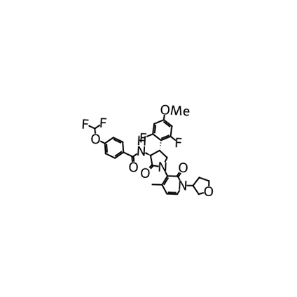 COc1cc(F)c([C@@H]2CN(c3c(C)ccn(C4CCOC4)c3=O)C(=O)[C@H]2NC(=O)c2ccc(OC(F)F)cc2)c(F)c1